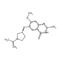 C=C(C)N1CC[C@H](Oc2cc3c(=O)[nH]c(C)nc3cc2OC)C1